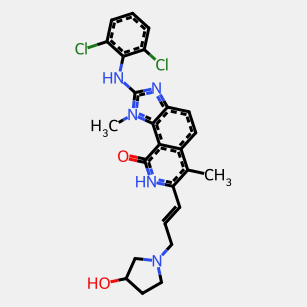 Cc1c(/C=C/CN2CCC(O)C2)[nH]c(=O)c2c1ccc1nc(Nc3c(Cl)cccc3Cl)n(C)c12